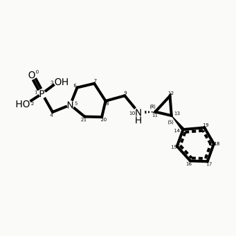 O=P(O)(O)CN1CCC(CN[C@@H]2C[C@H]2c2ccccc2)CC1